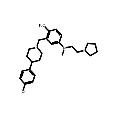 CN(CCN1CCCC1)c1ccc(C(F)(F)F)c(CN2CCC(c3ccc(Cl)cc3)CC2)c1